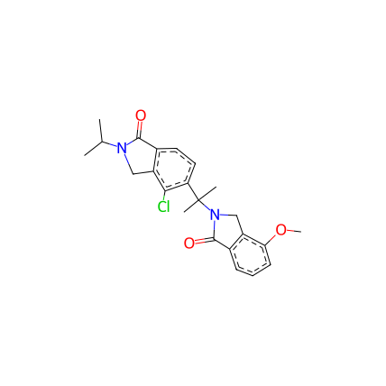 COc1cccc2c1CN(C(C)(C)c1ccc3c(c1Cl)CN(C(C)C)C3=O)C2=O